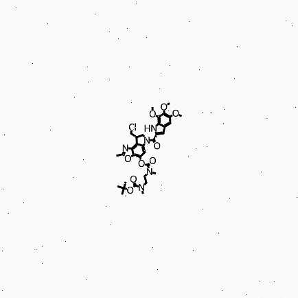 COc1cc2cc(C(=O)N3CC(CCl)c4c3cc(OC(=O)N(C)CCN(C)C(=O)OC(C)(C)C)c3oc(C)nc43)[nH]c2c(OC)c1OC